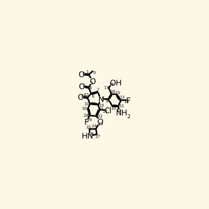 CC(=O)OC(=O)c1cn(-c2cc(N)c(F)cc2CO)c2c(Cl)c(OC3CNC3)c(F)cc2c1=O